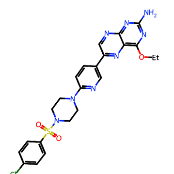 CCOc1nc(N)nc2ncc(-c3ccc(N4CCN(S(=O)(=O)c5ccc(Cl)cc5)CC4)nc3)nc12